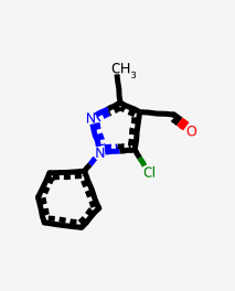 Cc1nn(-c2ccccc2)c(Cl)c1C=O